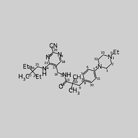 CCN1CCN(c2ccc(CC(C)(C)C(=O)NCc3cnc(C#N)nc3NCC(C)(CC)CC)cc2)CC1